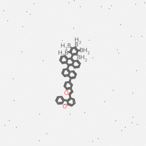 Bc1c(B)c(B)c(-c2c3ccccc3c(-c3cccc4c(-c5ccc6oc(-c7cccc8oc9ccccc9c78)cc6c5)cccc34)c3ccccc23)c(B)c1B